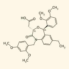 CCc1ccc2c(c1)[C@H](c1cccc(OC)c1OC)O[C@@H](CC(=O)O)C(=O)N2Cc1ccc(OC)cc1OC